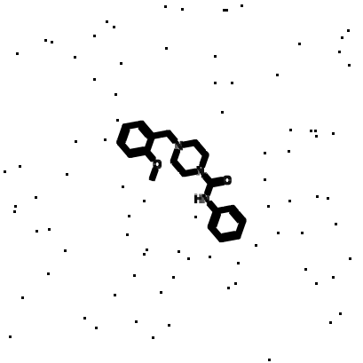 COc1ccccc1CN1CCN(C(=O)Nc2ccccc2)CC1